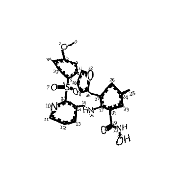 COc1ccc(S(=O)(=O)c2ncccc2CNc2c(C(=O)NO)cc(C)cc2-c2ccco2)cc1